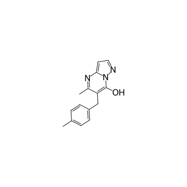 Cc1ccc(Cc2c(C)nc3ccnn3c2O)cc1